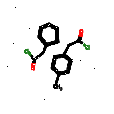 Cc1ccc(CC(=O)Cl)cc1.O=C(Cl)Cc1ccccc1